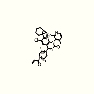 C=CC(=O)N1C[C@H](C)N(c2nc(=O)n(-c3c(C)ccnc3C(C)C)c3nc(C45CCCCC4C5)c(Cl)cc23)C[C@H]1C